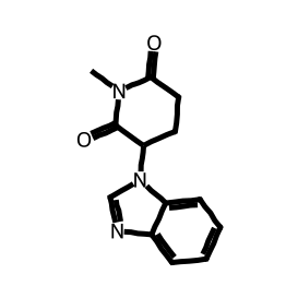 CN1C(=O)CCC(n2cnc3ccccc32)C1=O